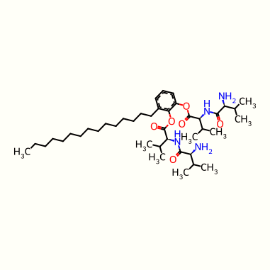 CCCCCCCCCCCCCCCc1cccc(OC(=O)[C@@H](NC(=O)[C@@H](N)C(C)C)C(C)C)c1OC(=O)[C@@H](NC(=O)[C@@H](N)C(C)C)C(C)C